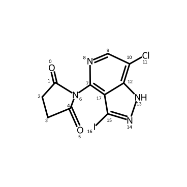 O=C1CCC(=O)N1c1ncc(Cl)c2[nH]nc(I)c12